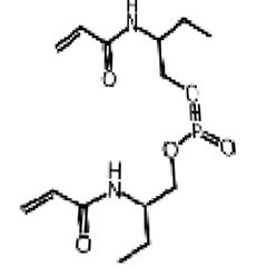 C=CC(=O)NC(CC)CO[PH](=O)OCC(CC)NC(=O)C=C